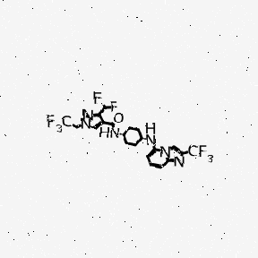 O=C(N[C@H]1CC[C@@H](Nc2cccc3nc(C(F)(F)F)cn23)CC1)c1cn(CC(F)(F)F)nc1C(F)F